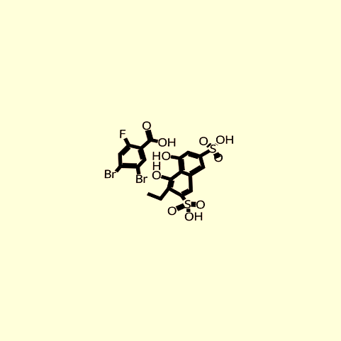 CCc1c(S(=O)(=O)O)cc2cc(S(=O)(=O)O)cc(O)c2c1O.O=C(O)c1cc(Br)c(Br)cc1F